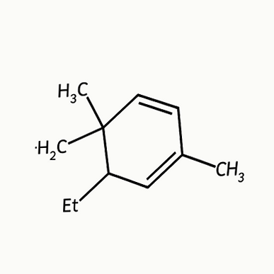 [CH2]C1(C)C=CC(C)=CC1CC